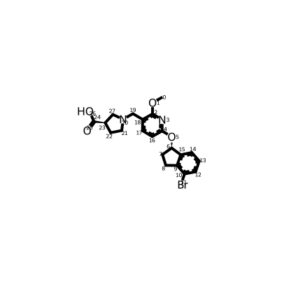 COc1nc(O[C@H]2CCc3c(Br)cccc32)ccc1CN1CC[C@@H](C(=O)O)C1